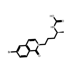 C[C@@H](CCCn1ccc2cc(Br)ccc2c1=O)NC(=O)O